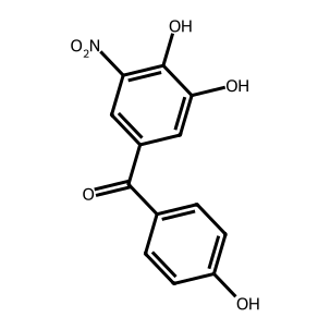 O=C(c1ccc(O)cc1)c1cc(O)c(O)c([N+](=O)[O-])c1